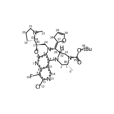 C[C@@H]1CN2c3c4c(nc5c(F)c(Cl)ncc35)O[C@@H]([C@@H]3CCCN3C)CN4C(=C3CC=CO3)[C@H]2CN1C(=O)OC(C)(C)C